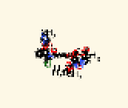 COc1cc(C(=O)N2CCC[C@H]2COC(C)=O)c(NC(=O)OC(C)(C)C)cc1OCCCCCC(=O)N1C[C@@H](CCl)c2c1cc(OC(=O)N1CCN(C)CC1)c1ccccc21